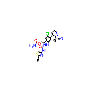 C#Cc1nc(NC(=O)N[C@@H](COC(N)=O)c2ccc(-c3cccnc3C3(C#N)CC3)c(Cl)c2)cs1